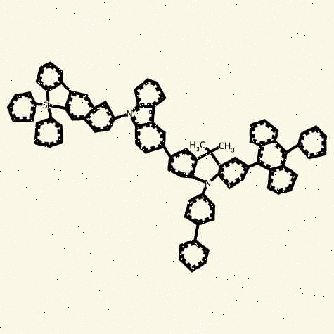 CC1(C)c2cc(-c3ccc4c(c3)c3ccccc3n4-c3ccc4cc5c(cc4c3)-c3ccccc3[Si]5(c3ccccc3)c3ccccc3)ccc2N(c2ccc(-c3ccccc3)cc2)c2ccc(-c3c4ccccc4c(-c4ccccc4)c4ccccc34)cc21